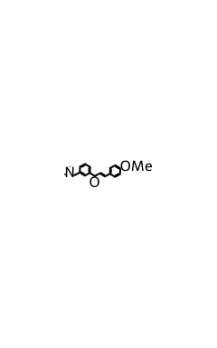 COc1ccc(C=CC(=O)c2cccc(CN(C)C)c2)cc1